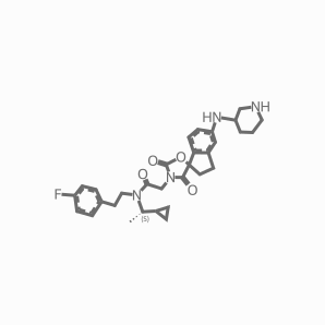 C[C@@H](C1CC1)N(CCc1ccc(F)cc1)C(=O)CN1C(=O)OC2(CCc3cc(NC4CCCNC4)ccc32)C1=O